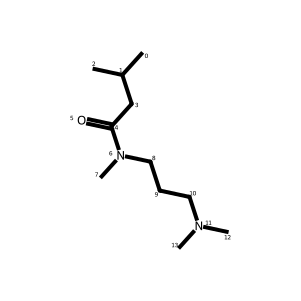 CC(C)CC(=O)N(C)CCCN(C)C